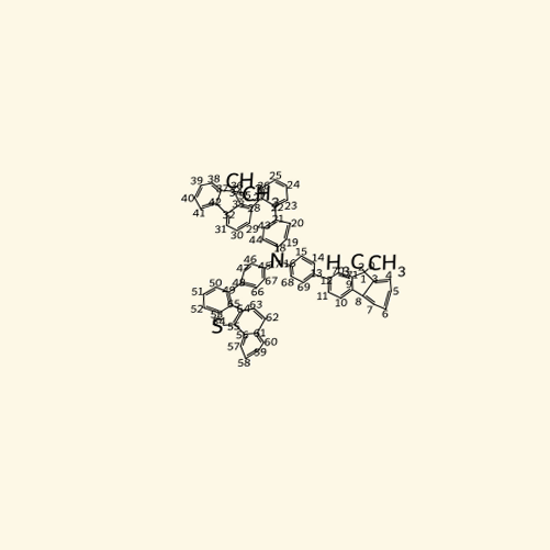 CC1(C)c2ccccc2-c2ccc(-c3ccc(N(c4ccc(-c5ccccc5-c5cccc6c5C(C)(C)c5ccccc5-6)cc4)c4ccc(-c5cccc6sc7c8ccccc8ccc7c56)cc4)cc3)cc21